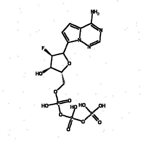 Nc1ncnn2c(C3O[C@H](COP(=O)(O)OP(=O)(O)OP(=O)(O)O)[C@@H](O)[C@H]3F)ccc12